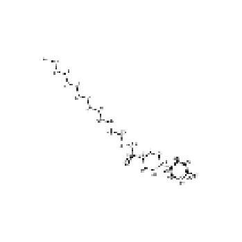 CCCCCCCCCCCCCCCCC(=O)[C@H]1CC[C@H](c2ccc(F)cc2)CC1